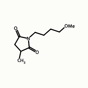 COCCCCN1C(=O)CC(C)C1=O